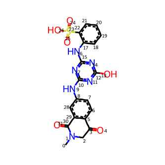 CN1CC(=O)c2ccc(Nc3nc(O)nc(Nc4ccccc4S(=O)(=O)O)n3)cc2C1=O